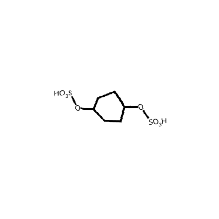 O=S(=O)(O)OC1CCC(OS(=O)(=O)O)CC1